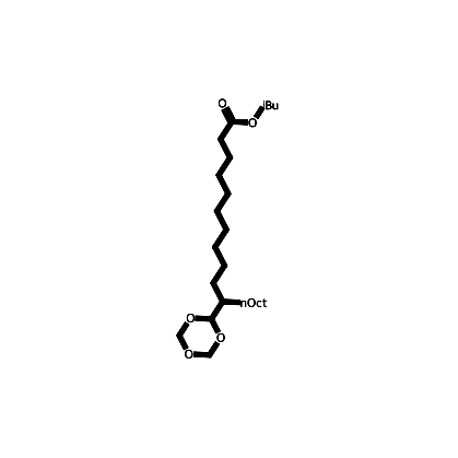 CCCCCCCCC(CCCCCCCCCC(=O)OC(C)CC)C1OCOCO1